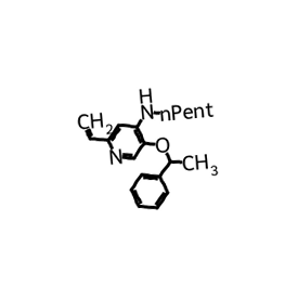 C=Cc1cc(NCCCCC)c(OC(C)c2ccccc2)cn1